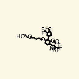 CC(=O)Oc1c(-c2cc(C(F)(F)F)nn2C)ccc(OCCCCCOCCO)c1-c1ccc(Cl)c(C(F)(F)F)c1